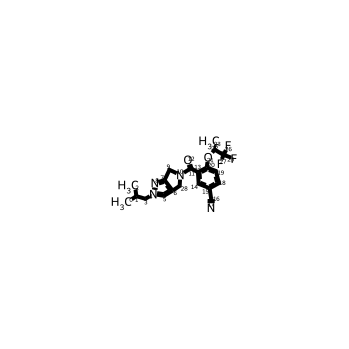 CC(C)Cn1cc2c(n1)CN(C(=O)c1cc(C#N)ccc1O[C@@H](C)C(F)(F)F)C2